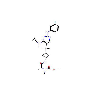 C[C@@H](C(=O)N[C@H]1C[C@@H](C(C)(C)c2cnc(Nc3cccc(F)c3)nc2NC2CC2)C1)N(C)C(=O)OC(C)(C)C